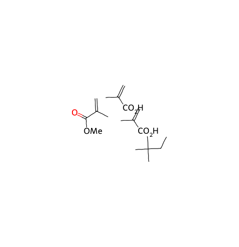 C=C(C)C(=O)O.C=C(C)C(=O)O.C=C(C)C(=O)OC.CCC(C)(C)C